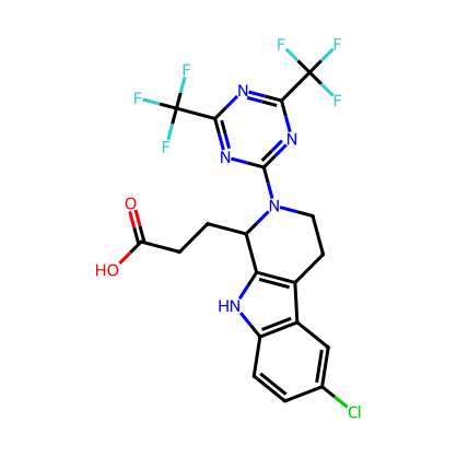 O=C(O)CCC1c2[nH]c3ccc(Cl)cc3c2CCN1c1nc(C(F)(F)F)nc(C(F)(F)F)n1